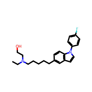 CCN(CCO)CCCCCc1ccc2c(ccn2-c2ccc(F)cc2)c1